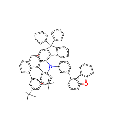 CC(C)(C)c1cc(-c2cccc3cccc(-c4ccccc4N(c4cccc(-c5cccc6oc7ccccc7c56)c4)c4cccc5c4-c4ccccc4C5(c4ccccc4)c4ccccc4)c23)cc(C(C)(C)C)c1